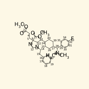 COC(=O)CCC1(C(=O)OC)N=CN(CCc2ccccc2)C1CC1CCC(C(c2ccc(F)cc2)N(C)C)CC1